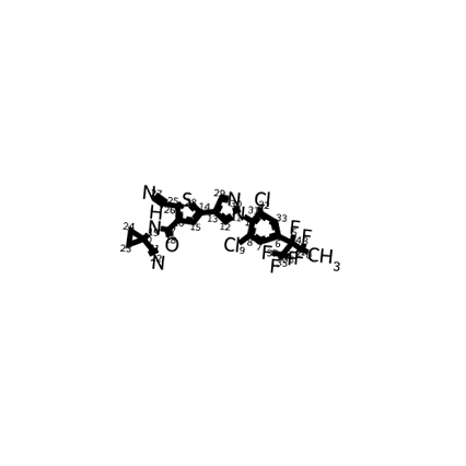 CC(F)(F)C(F)(c1cc(Cl)c(-n2cc(-c3cc(C(=O)NC4(C#N)CC4)c(C#N)s3)cn2)c(Cl)c1)C(F)(F)F